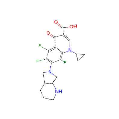 O=C(O)c1cn(C2CC2)c2c(F)c(N3CC4CCCNC4C3)c(F)c(F)c2c1=O